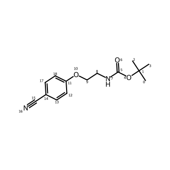 CC(C)(C)OC(=O)NCCOc1ccc(C#N)cc1